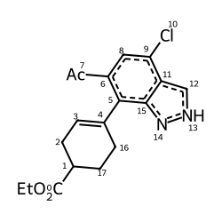 CCOC(=O)C1CC=C(c2c(C(C)=O)cc(Cl)c3c[nH]nc23)CC1